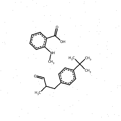 CC(C=O)Cc1ccc(C(C)(C)C)cc1.CNc1ccccc1C(=O)O